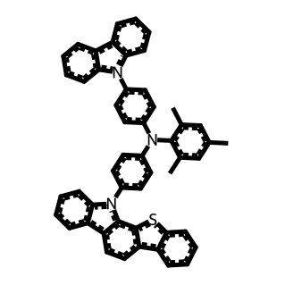 Cc1cc(C)c(N(c2ccc(-n3c4ccccc4c4ccccc43)cc2)c2ccc(-n3c4ccccc4c4ccc5c6ccccc6sc5c43)cc2)c(C)c1